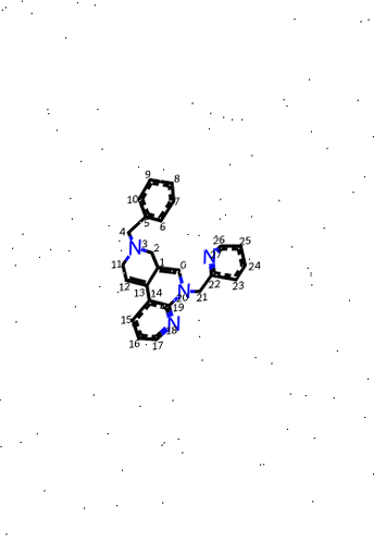 C1=C2CN(Cc3ccccc3)CC=C2c2cccnc2N1Cc1ccccn1